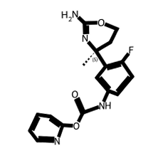 C[C@@]1(c2cc(NC(=O)Oc3ccccn3)ccc2F)CCOC(N)=N1